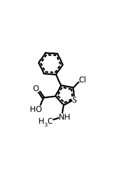 CNc1sc(Cl)c(-c2ccccc2)c1C(=O)O